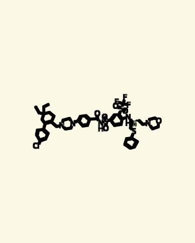 CCC1(CC)CCC(CN2CCN(c3ccc(C(=O)NS(=O)(=O)c4ccc(N[C@H](CCN5CCOCC5)CSc5ccccc5)c(S(=O)(=O)C(F)(F)F)c4)cc3)CC2)=C(c2ccc(Cl)cc2)C1